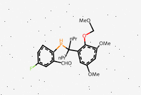 CCCC(CCC)(Pc1ccc(F)cc1C=O)c1cc(OC)cc(OC)c1OCOC